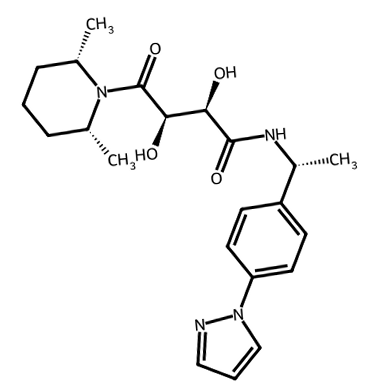 C[C@@H]1CCC[C@H](C)N1C(=O)[C@H](O)[C@@H](O)C(=O)N[C@H](C)c1ccc(-n2cccn2)cc1